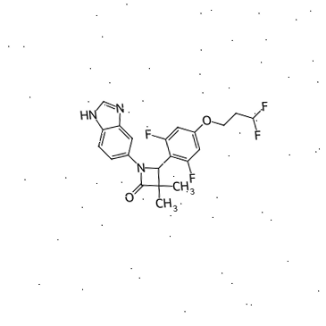 CC1(C)C(=O)N(c2ccc3[nH]cnc3c2)C1c1c(F)cc(OCCC(F)F)cc1F